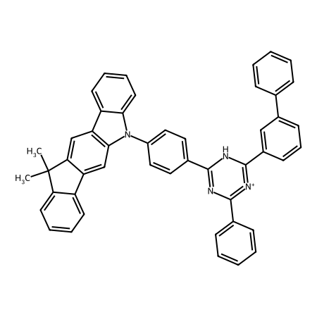 CC1(C)c2ccccc2-c2cc3c(cc21)c1ccccc1n3-c1ccc(C2=NC(c3ccccc3)=[N+]=C(c3cccc(-c4ccccc4)c3)N2)cc1